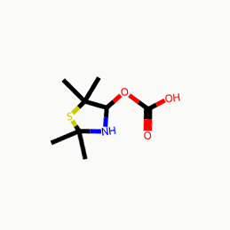 CC1(C)NC(OC(=O)O)C(C)(C)S1